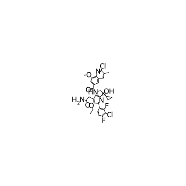 CCOc1c(CC(N)=O)cc([C@@](O)(CNC(=O)c2cc(OC)c3nc(Cl)c(C)cc3c2)C2CC2)nc1-c1ccc(F)c(Cl)c1F